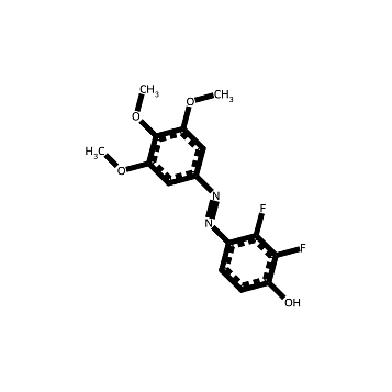 COc1cc(N=Nc2ccc(O)c(F)c2F)cc(OC)c1OC